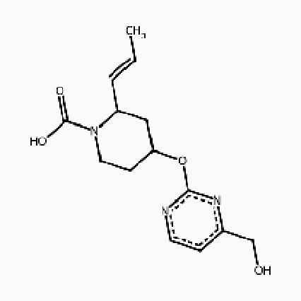 CC=CC1CC(Oc2nccc(CO)n2)CCN1C(=O)O